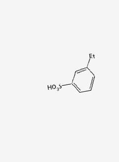 [CH2]Cc1cccc(S(=O)(=O)O)c1